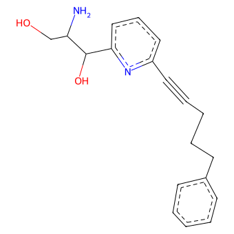 NC(CO)C(O)c1cccc(C#CCCCc2ccccc2)n1